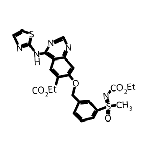 CCOC(=O)N=S(C)(=O)c1cccc(COc2cc3ncnc(Nc4nccs4)c3cc2C(=O)OCC)c1